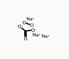 O=C([O-])[O-].[Na+].[Na+].[Na+].[O-]Cl